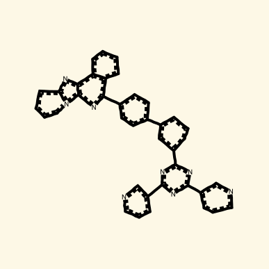 c1cncc(-c2nc(-c3cccnc3)nc(-c3cccc(-c4ccc(-c5nc6c(nc7ccccn76)c6ccccc56)cc4)c3)n2)c1